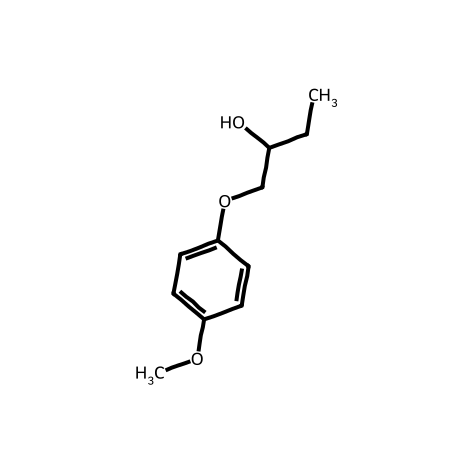 CCC(O)COc1ccc(OC)cc1